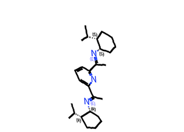 C/C(=N\[C@H]1CCCC[C@H]1C(C)C)c1cccc(/C(C)=N/[C@@H]2CCCC[C@@H]2C(C)C)n1